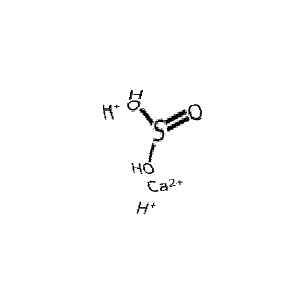 O=S(O)O.[Ca+2].[H+].[H+]